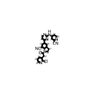 N#Cc1cc(Nc2nccc(-c3cc(C#N)c4c(c3)CCN4C(=O)Cc3cccnc3Cl)n2)ccn1